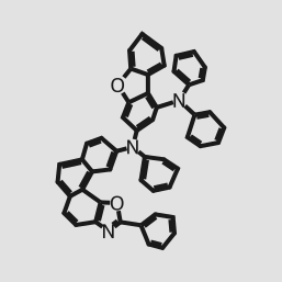 c1ccc(-c2nc3ccc4ccc5ccc(N(c6ccccc6)c6cc(N(c7ccccc7)c7ccccc7)c7c(c6)oc6ccccc67)cc5c4c3o2)cc1